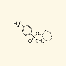 C=S(=O)(OC1CCCCC1)c1ccc(C)cc1